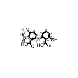 Nc1cccc(C(=O)O)c1[N+](=O)[O-].Nc1cccc(O)c1C(=O)O